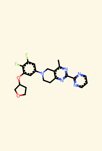 Cc1nc(-c2ncccn2)nc2c1CN(c1cc(F)c(F)c(OC3CCOC3)c1)CC2